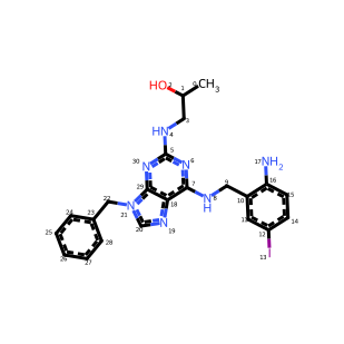 CC(O)CNc1nc(NCc2cc(I)ccc2N)c2ncn(Cc3ccccc3)c2n1